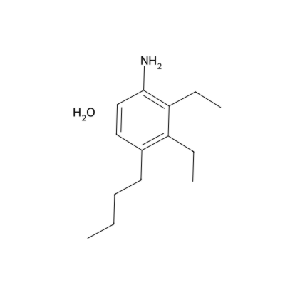 CCCCc1ccc(N)c(CC)c1CC.O